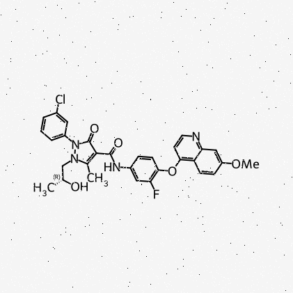 COc1ccc2c(Oc3ccc(NC(=O)c4c(C)n(C[C@@H](C)O)n(-c5cccc(Cl)c5)c4=O)cc3F)ccnc2c1